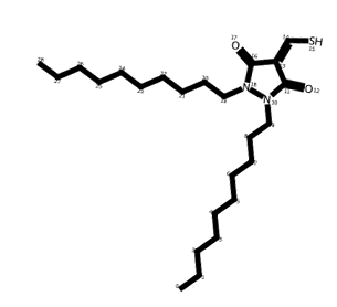 CCCCCCCCCCN1C(=O)C(=CS)C(=O)N1CCCCCCCCCC